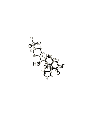 C[C@@]1(O)CCC[C@H]1n1c(=O)c(F)cc2cnc(N(O)C3CCN(S(C)(=O)=O)CC3)nc21